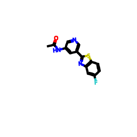 CC(=O)Nc1cncc(-c2nc3cc(F)ccc3s2)c1